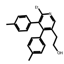 CCc1n[c]c(CCO)c(-c2ccc(C)cc2)c1-c1ccc(C)cc1